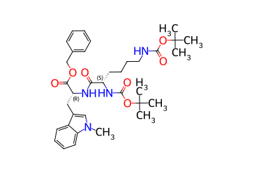 Cn1cc(C[C@@H](NC(=O)[C@H](CCCCNC(=O)OC(C)(C)C)NC(=O)OC(C)(C)C)C(=O)OCc2ccccc2)c2ccccc21